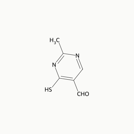 Cc1ncc(C=O)c(S)n1